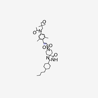 CCCCC1CCC(C2=NC3(CCN(S(=O)(=O)/C=C/c4c(C)cc(N(CC5(C)COC5)C(C)=O)cc4C)CC3)C(=O)N2)CC1